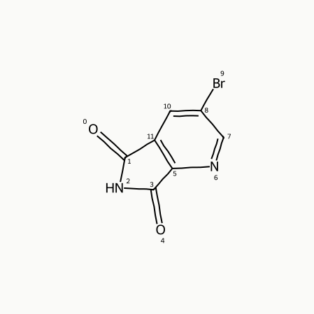 O=C1NC(=O)c2ncc(Br)cc21